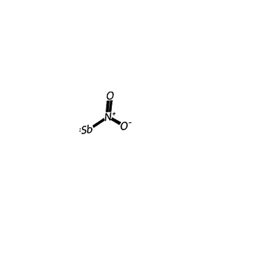 O=[N+]([O-])[Sb]